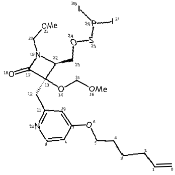 C=CCCCCOc1ccnc(C[C@]2(OCOC)C(=O)N(COC)[C@H]2COSP(I)I)c1